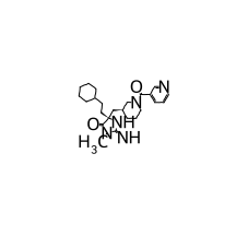 CN1C(=N)N[C@@](CCC2CCCCC2)(C[C@@H]2CCCN(C(=O)c3cccnc3)C2)C1=O